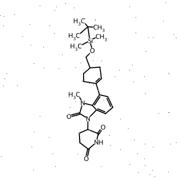 Cn1c(=O)n(C2CCC(=O)NC2=O)c2cccc(C3=CCC(CO[Si](C)(C)C(C)(C)C)CC3)c21